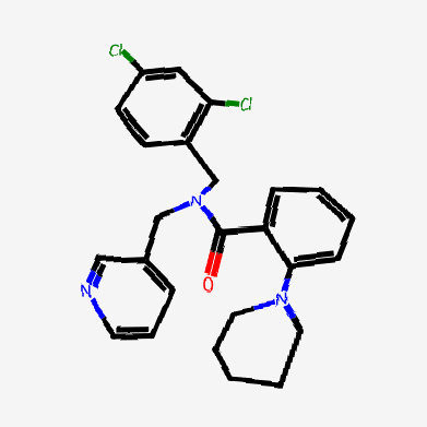 O=C(c1ccccc1N1CCCCC1)N(Cc1cccnc1)Cc1ccc(Cl)cc1Cl